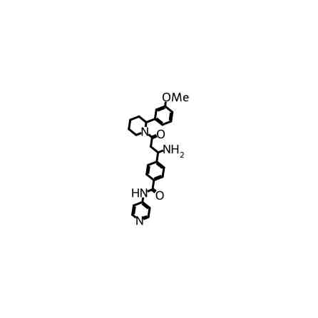 COc1cccc(C2CCCCN2C(=O)CC(N)c2ccc(C(=O)Nc3ccncc3)cc2)c1